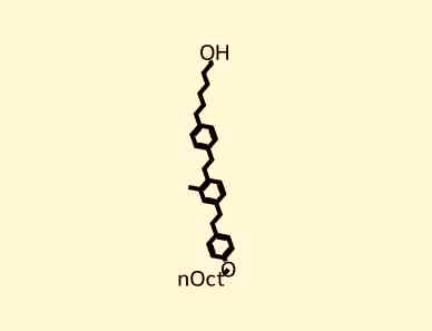 CCCCCCCCOc1ccc(CCc2ccc(CCc3ccc(CCCCCCO)cc3)c(C)c2)cc1